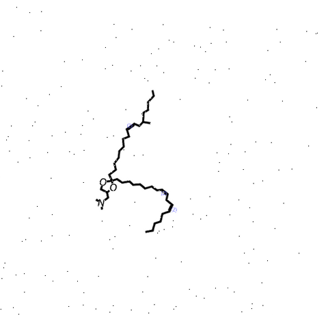 CCCCC/C=C\C/C=C\CCCCCCCCC1(CCCCCCCC/C=C\CC(C)CCCCC)OCC(CN(C)C)O1